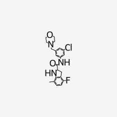 Cc1ccc(F)c2c1NC(C(=O)Nc1cc(Cl)cc(CN3CCOCC3)c1)C2